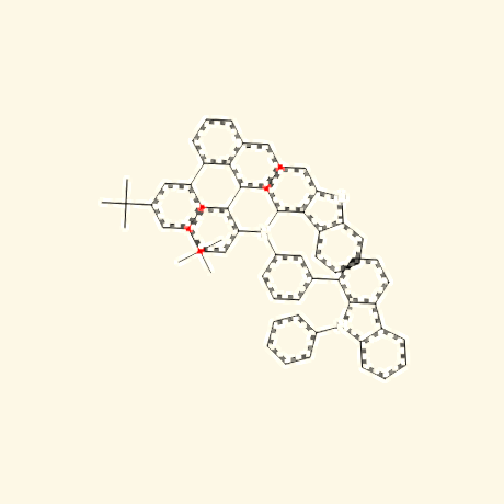 CC(C)(C)c1cc(-c2cccc3cccc(-c4ccccc4N(c4cccc(-c5cccc6c7ccccc7n(-c7ccccc7)c56)c4)c4cccc5oc6ccccc6c45)c23)cc(C(C)(C)C)c1